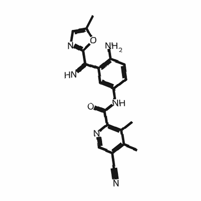 Cc1cnc(C(=N)c2cc(NC(=O)c3ncc(C#N)c(C)c3C)ccc2N)o1